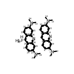 CN(C)c1ccc2cc3ccc(N(C)C)cc3nc2c1.CN(C)c1ccc2cc3ccc(N(C)C)cc3nc2c1.I.I